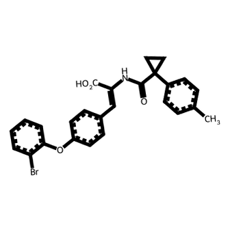 Cc1ccc(C2(C(=O)NC(=Cc3ccc(Oc4ccccc4Br)cc3)C(=O)O)CC2)cc1